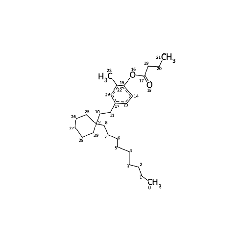 CCCCCCCCCC1(CCc2ccc(OC(=O)CCC)c(C)c2)CCCCC1